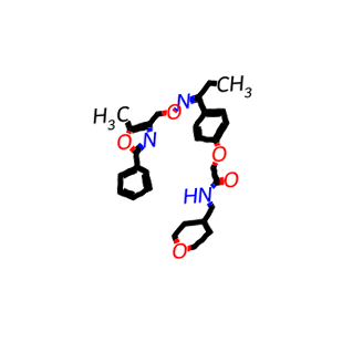 CCC(=NOCc1nc(-c2ccccc2)oc1C)c1ccc(OCC(=O)NCC2CCOCC2)cc1